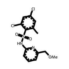 COCc1cccc(NS(=O)(=O)c2c(C)cc(Cl)cc2Cl)n1